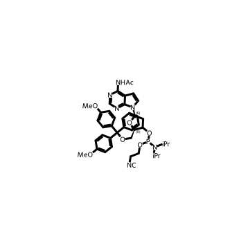 [C-]#[N+]CCOP(OC1C[C@H](n2ccc3c(NC(C)=O)ncnc32)O[C@@H]1COC(c1ccccc1)(c1ccc(OC)cc1)c1ccc(OC)cc1)N(C(C)C)C(C)C